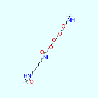 CC(C)(C)NCCOCCOCCOCCOCCC(=O)NCCCCCCCCNC(=O)C(C)(C)C